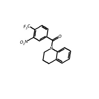 O=C(c1ccc(C(F)(F)F)c([N+](=O)[O-])c1)N1CCCc2ccccc21